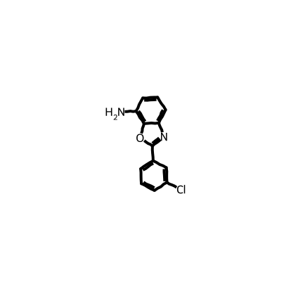 Nc1cccc2nc(-c3cccc(Cl)c3)oc12